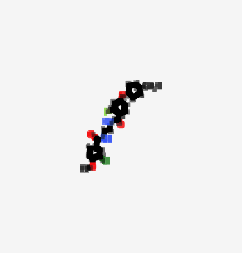 CCOc1ccc(C(=O)NCCNC(=O)c2ccc(O[C@H]3CC[C@@H](C(=O)O)CC3)cc2F)cc1Cl